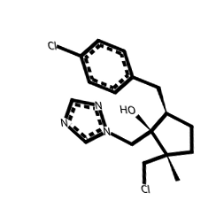 C[C@]1(CCl)CC[C@H](Cc2ccc(Cl)cc2)[C@@]1(O)Cn1cncn1